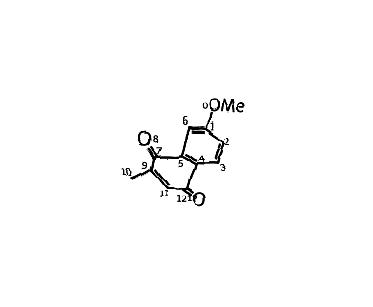 COc1ccc2c(c1)C(=O)C(C)=CC2=O